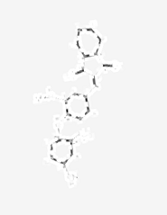 COc1cc(C=C2C(=O)c3ccccc3C2=O)ccc1Oc1ccc(C#N)cc1C(F)(F)F